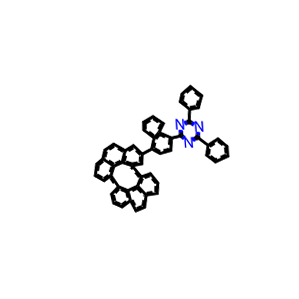 c1ccc(-c2nc(-c3ccccc3)nc(-c3ccc(-c4cc5ccc6cccc7c8cccc9ccc%10cccc(c(c4)c5c67)c%10c98)c4ccccc34)n2)cc1